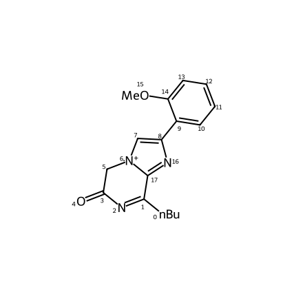 CCCCC1=NC(=O)C[N+]2C=C(c3ccccc3OC)N=C12